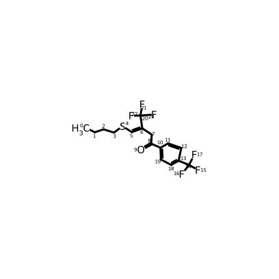 CCCCSC=C(CC(=O)c1ccc(C(F)(F)F)cc1)C(F)(F)F